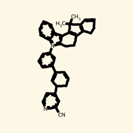 CC1(C)C2=C(CCC=C2)C2=C1c1c(n(-c3cccc(C4=CC(c5ccnc(C#N)c5)CC=C4)c3)c3ccccc13)CC2